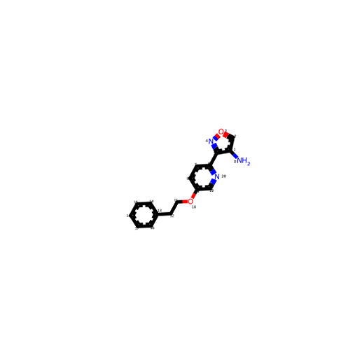 Nc1conc1-c1ccc(OCCc2ccccc2)cn1